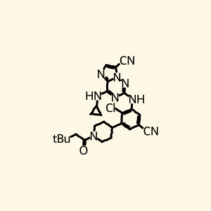 CC(C)(C)CC(=O)N1CCC(c2cc(C#N)cc(Nc3nc(NC4CC4)c4ncc(C#N)n4n3)c2Cl)CC1